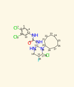 O=C(Nc1ccc(Cl)c(Cl)c1)NC1NCC(F)C(Cl)N1C1CCCCCCCC1